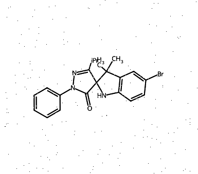 CC(C)C1=NN(c2ccccc2)C(=O)C12Nc1ccc(Br)cc1C2(C)C